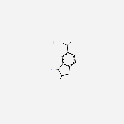 CC(C)c1ccc2c(c1)C(N)C(C)C2